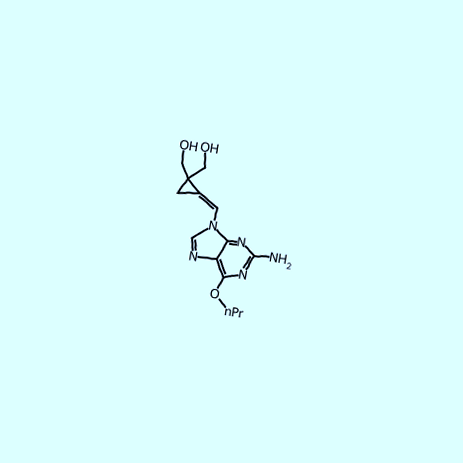 CCCOc1nc(N)nc2c1ncn2/C=C1\CC1(CO)CO